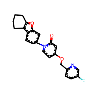 O=c1cc(OCc2ccc(F)cn2)ccn1-c1ccc2c3c(oc2c1)CCCC3